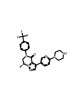 C[C@H]1CN(c2ccc(C(F)(F)F)cc2)C(=O)c2c(-c3ccc(N4CCNCC4)nc3)cnn21